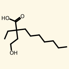 CCCCCCCC(CC)(CCO)C(=O)O